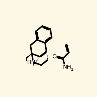 C=CC(N)=O.c1ccc2c(c1)C[C@H]1NCC[C@@]23CCCC[C@@H]13